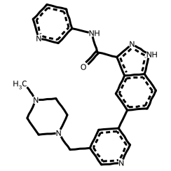 CN1CCN(Cc2cncc(-c3ccc4[nH]nc(C(=O)Nc5cccnc5)c4c3)c2)CC1